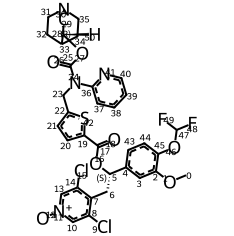 COc1cc([C@H](Cc2c(Cl)c[n+]([O-])cc2Cl)OC(=O)c2ccc(CN(C(=O)O[C@H]3CN4CCC3CC4)c3ccccn3)s2)ccc1OC(F)F